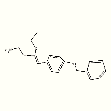 CCOC(=Cc1ccc(OCc2ccccc2)cc1)CCN